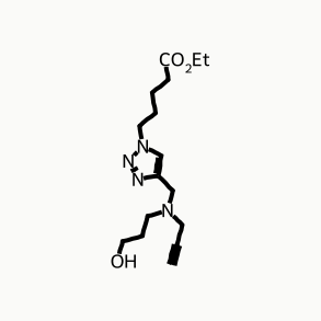 C#CCN(CCCO)Cc1cn(CCCCC(=O)OCC)nn1